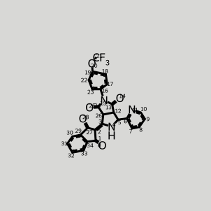 O=C1C(=C2NC(c3ccccn3)C3C(=O)N(c4ccc(OC(F)(F)F)cc4)C(=O)C23)C(=O)c2ccccc21